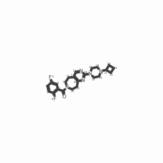 O=C(c1cc(F)ccc1F)N1CCc2cnc(N3CCN(C4CCC4)CC3)nc2CC1